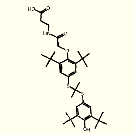 CC(C)(Sc1cc(C(C)(C)C)c(O)c(C(C)(C)C)c1)Sc1cc(C(C)(C)C)c(OCC(=O)NCCC(=O)O)c(C(C)(C)C)c1